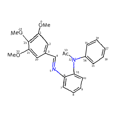 COc1cc(C=Nc2ccccc2N(C(C)=O)c2ccccc2)cc(OC)c1OC